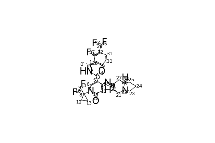 C[C@@H](NC(=O)c1cn(C2(C(F)F)CC2)c(=O)cc1N[C@@H]1CCN2CCC[C@@H]2C1)c1cccc(C(F)F)c1F